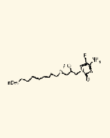 CCCCCCCCCCCCCCCCCCOCC(O)Cn1cc(F)c(N)nc1=O